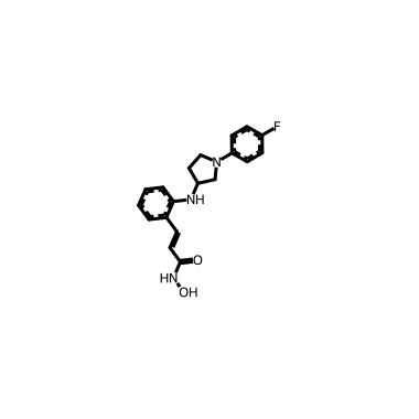 O=C(/C=C/c1ccccc1NC1CCN(c2ccc(F)cc2)C1)NO